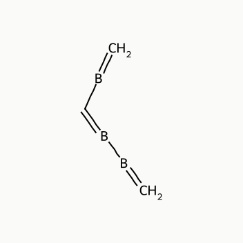 C=B/B=C\B=C